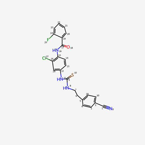 N#Cc1ccc(CCNC(=S)Nc2ccc(NC(=O)c3ccccc3F)c(Cl)c2)cc1